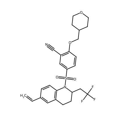 C=Cc1ccc2c(c1)CCC(CC(F)(F)F)N2S(=O)(=O)c1ccc(OCC2CCOCC2)c(C#N)c1